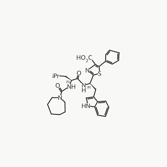 CC(C)C[C@H](NC(=O)N1CCCCCC1)C(=O)N[C@H](Cc1c[nH]c2ccccc12)c1nc(C(=O)O)c(-c2ccccc2)s1